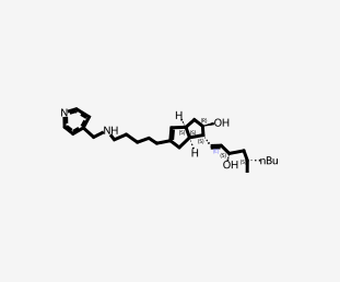 CCCC[C@H](C)C[C@H](O)/C=C/[C@@H]1[C@H]2CC(CCCCCNCc3ccncc3)=C[C@H]2C[C@H]1O